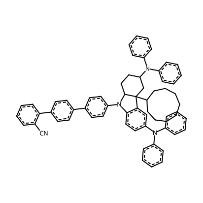 N#Cc1ccccc1-c1ccc(-c2ccc(N3c4ccc(N(c5ccccc5)c5ccccc5)cc4C4(C5CCCCCCCC5)CC(N(c5ccccc5)c5ccccc5)CCC34)cc2)cc1